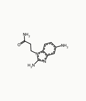 NC(=O)CCn1c(N)nc2cc(N)ccc21